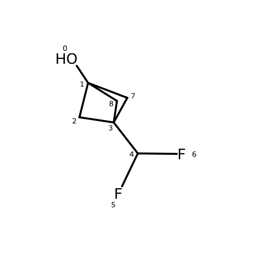 OC12CC(C(F)F)(C1)C2